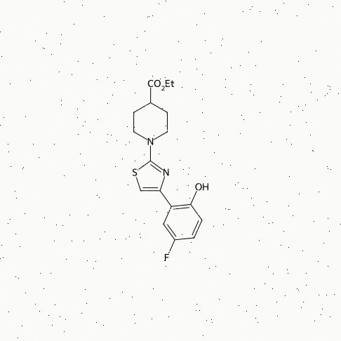 CCOC(=O)C1CCN(c2nc(-c3cc(F)ccc3O)cs2)CC1